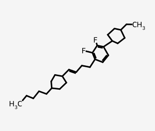 CCCCCC1CCC(/C=C/CCc2ccc(C3CCC(CC)CC3)c(F)c2F)CC1